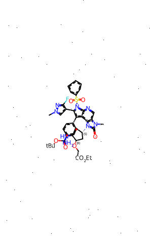 CCOC(=O)CO[C@@H]1C[C@@H](n2c(=O)n(C)c3cnc4c(c(-c5ccc(N)cc5)c(-c5cn(C)nc5F)n4S(=O)(=O)c4ccccc4)c32)C[C@@H]1NC(=O)OC(C)(C)C